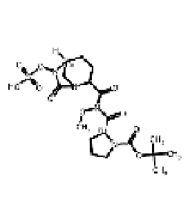 CON(C(=O)C1CC[C@@H]2CN1C(=O)N2OS(=O)(=O)O)C(=O)[C@@H]1CCCN1C(=O)OC(C)(C)C